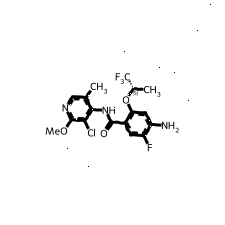 COc1ncc(C)c(NC(=O)c2cc(F)c(N)cc2O[C@@H](C)C(F)(F)F)c1Cl